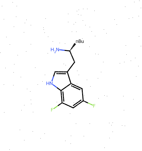 CCCC[C@H](N)Cc1c[nH]c2c(F)cc(F)cc12